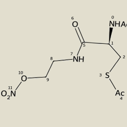 CC(=O)N[C@@H](CSC(C)=O)C(=O)NCCO[N+](=O)[O-]